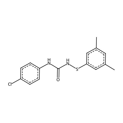 Cc1cc(C)cc(SNC(=O)Nc2ccc(Cl)cc2)c1